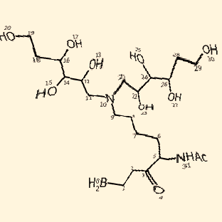 BCCC(=O)C(CCCCN(CC(O)C(O)C(O)CCO)CC(O)C(O)C(O)CCO)NC(C)=O